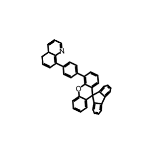 C1=CC2CC=CC(c3ccc(-c4cccc5c4Oc4ccccc4C54c5ccccc5-c5ccccc54)cc3)=C2N=C1